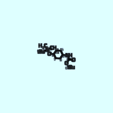 CC(C)(C)OC(=O)NC1CCC(O[Si](C)(C)C(C)(C)C)CC1